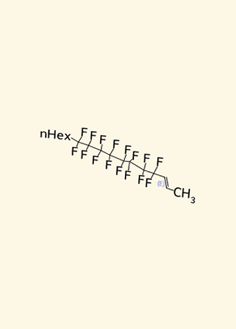 C/C=C/C(F)(F)C(F)(F)C(F)(F)C(F)(F)C(F)(F)C(F)(F)C(F)(F)C(F)(F)CCCCCC